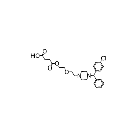 O=C(O)CCC(=O)OCCOCCN1CCN(C(c2ccccc2)c2ccc(Cl)cc2)CC1